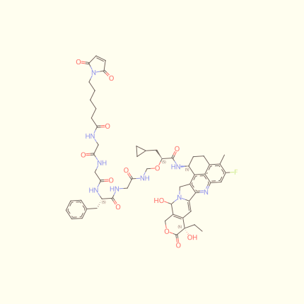 CC[C@@]1(O)C(=O)OCC2=C1C=C1c3nc4cc(F)c(C)c5c4c(c3CN1C2O)[C@@H](NC(=O)[C@H](CC1CC1)OCNC(=O)CNC(=O)[C@H](Cc1ccccc1)NC(=O)CNC(=O)CNC(=O)CCCCCN1C(=O)C=CC1=O)CC5